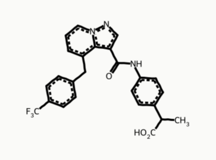 CC(C(=O)O)c1ccc(NC(=O)c2cnn3cccc(Cc4ccc(C(F)(F)F)cc4)c23)cc1